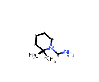 CC1(C)CCCCN1CN